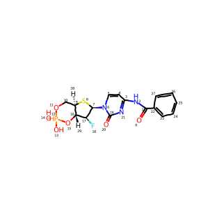 O=C(Nc1ccn([C@@H]2S[C@@H]3CO[PH](O)(O)O[C@H]3[C@@H]2F)c(=O)n1)c1ccccc1